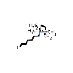 [Li][CH2]CCCCCN1[Si](C)(C)CC[Si]1(C)C